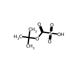 CC(C)(C)OC(=O)S(=O)(=O)O